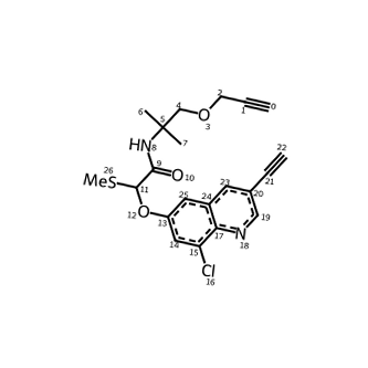 C#CCOCC(C)(C)NC(=O)C(Oc1cc(Cl)c2ncc(C#C)cc2c1)SC